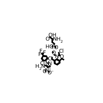 CCc1cccc(CC)c1N(COC)C(=O)CCl.CP(=O)(O)CCC(N)C(=O)O.Nc1c([N+](=O)[O-])cnn1-c1c(Cl)cc(C(F)(F)F)cc1Cl